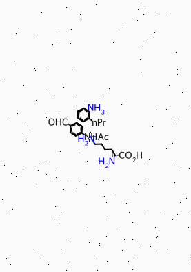 CC(=O)Nc1ccc(C=O)cc1.CCCc1ccccc1.N.NCCCC[C@H](N)C(=O)O